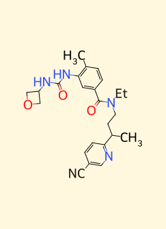 CCN(CCC(C)c1ccc(C#N)cn1)C(=O)c1ccc(C)c(NC(=O)NC2COC2)c1